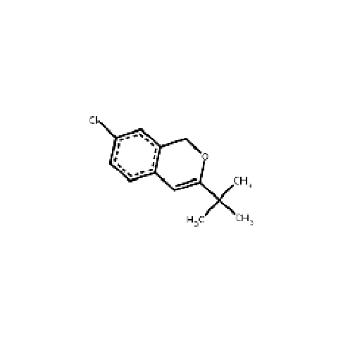 CC(C)(C)C1=Cc2ccc(Cl)cc2CO1